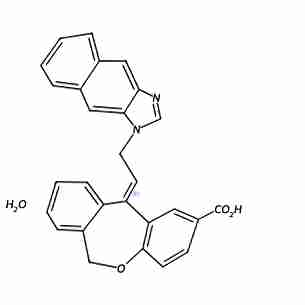 O.O=C(O)c1ccc2c(c1)/C(=C/Cn1cnc3cc4ccccc4cc31)c1ccccc1CO2